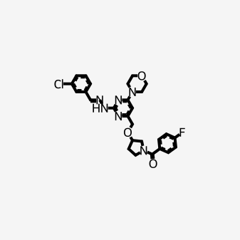 O=C(c1ccc(F)cc1)N1CCC(OCc2cc(N3CCOCC3)nc(N/N=C/c3cccc(Cl)c3)n2)C1